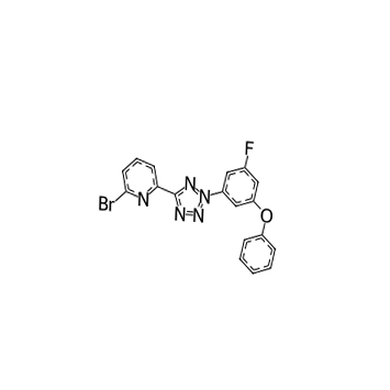 Fc1cc(Oc2ccccc2)cc(-n2nnc(-c3cccc(Br)n3)n2)c1